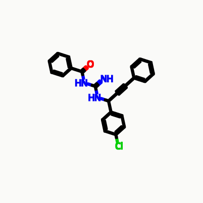 N=C(NC(=O)c1ccccc1)NC(C#Cc1ccccc1)c1ccc(Cl)cc1